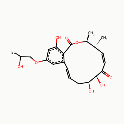 CCC(O)COc1cc(O)c2c(c1)/C=C/C[C@H](O)[C@H](O)C(=O)/C=C\[C@@H](C)[C@H](C)OC2=O